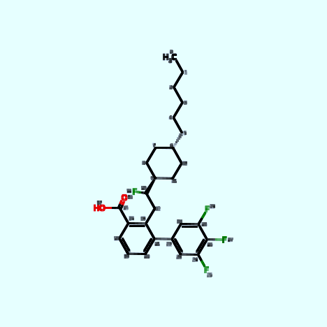 CCCCCC[C@H]1CC[C@H](C(F)Cc2c(C(=O)O)cccc2-c2cc(F)c(F)c(F)c2)CC1